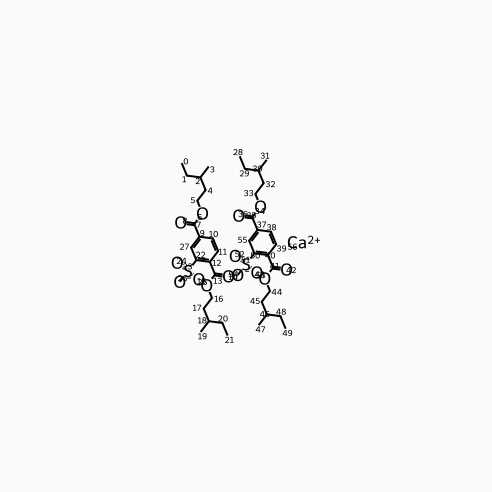 CCC(C)CCOC(=O)c1ccc(C(=O)OCCC(C)CC)c(S(=O)(=O)[O-])c1.CCC(C)CCOC(=O)c1ccc(C(=O)OCCC(C)CC)c(S(=O)(=O)[O-])c1.[Ca+2]